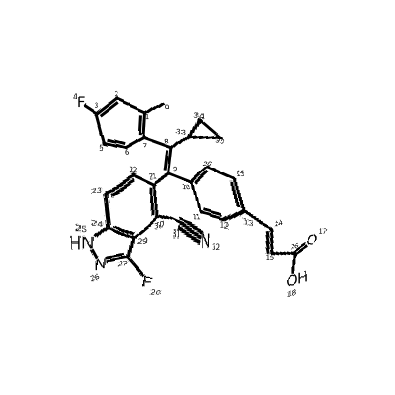 Cc1cc(F)ccc1C(=C(c1ccc(C=CC(=O)O)cc1)c1ccc2[nH]nc(F)c2c1C#N)C1CC1